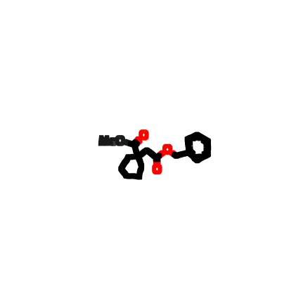 COC(=O)C1(CC(=O)OCc2ccccc2)CCCCC1